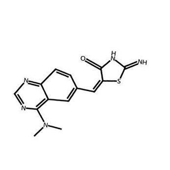 CN(C)c1ncnc2ccc(/C=C3/SC(=N)NC3=O)cc12